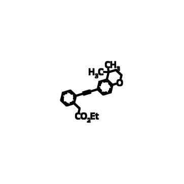 CCOC(=O)Cc1ccccc1C#Cc1ccc2c(c1)C(C)(C)CCO2